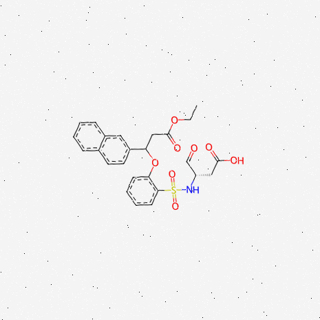 CCOC(=O)CC(Oc1ccccc1S(=O)(=O)N[C@H](C=O)CC(=O)O)c1ccc2ccccc2c1